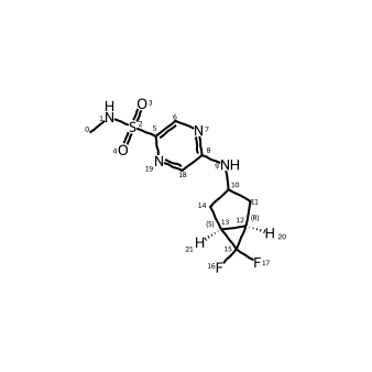 CNS(=O)(=O)c1cnc(NC2C[C@@H]3[C@H](C2)C3(F)F)cn1